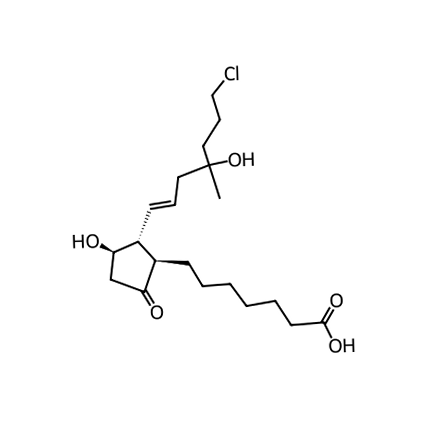 CC(O)(CC=C[C@H]1[C@H](O)CC(=O)[C@@H]1CCCCCCC(=O)O)CCCCl